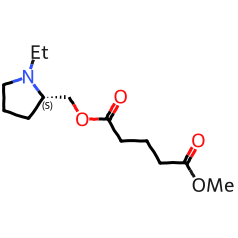 CCN1CCC[C@H]1COC(=O)CCCC(=O)OC